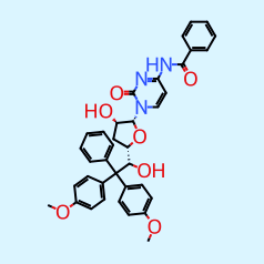 COc1ccc(C(c2ccccc2)(c2ccc(OC)cc2)C(O)[C@@H]2C[C@@H](O)[C@H](n3ccc(NC(=O)c4ccccc4)nc3=O)O2)cc1